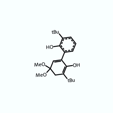 COC1(OC)C=C(c2cccc(C(C)(C)C)c2O)C(O)=C(C(C)(C)C)C1